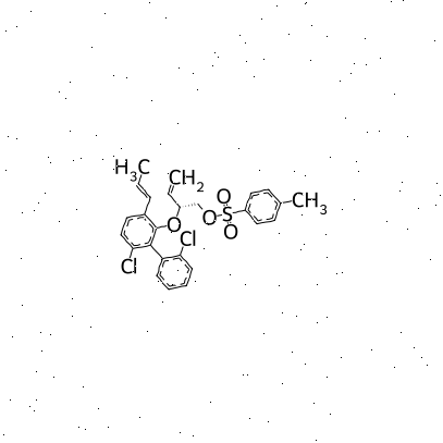 C=C[C@H](COS(=O)(=O)c1ccc(C)cc1)Oc1c(C=CC)ccc(Cl)c1-c1ccccc1Cl